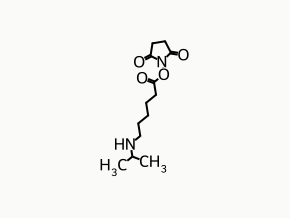 CC(C)NCCCCCC(=O)ON1C(=O)CCC1=O